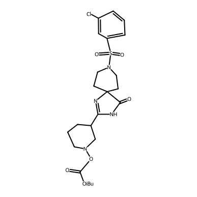 CC(C)COC(=O)ON1CCCC(C2=NC3(CCN(S(=O)(=O)c4cccc(Cl)c4)CC3)C(=O)N2)C1